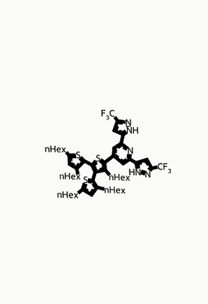 CCCCCCc1cc(CCCCCC)c(-c2sc(-c3cc(-c4cc(C(F)(F)F)n[nH]4)nc(-c4cc(C(F)(F)F)n[nH]4)c3)c(CCCCCC)c2-c2sc(CCCCCC)cc2CCCCCC)s1